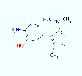 Cc1scc(N(C)C)c1-c1ccc(N)c(O)c1